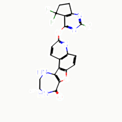 C[C@@H]1CNc2c(oc3ccc4nc(Oc5nc(Cl)nc6c5C(F)(F)CC6)ccc4c23)C(=O)N1